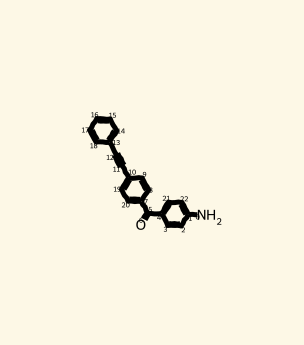 Nc1ccc(C(=O)c2ccc(C#Cc3ccccc3)cc2)cc1